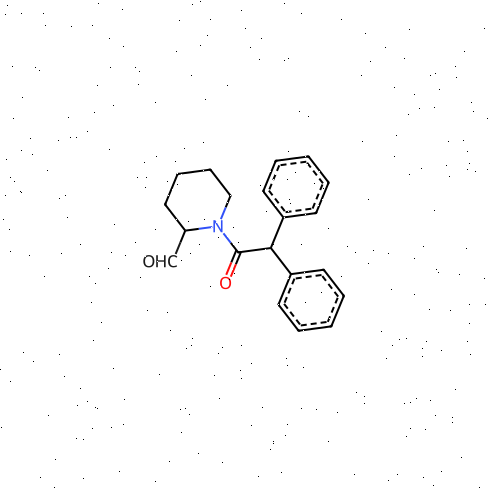 O=CC1CCCCN1C(=O)C(c1ccccc1)c1ccccc1